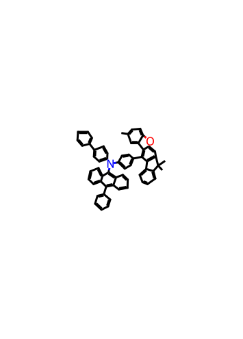 Cc1ccc2oc3cc4c(c(-c5ccc(N(c6ccc(-c7ccccc7)cc6)c6c7ccccc7c(-c7ccccc7)c7ccccc67)cc5)c3c2c1)-c1ccccc1C4(C)C